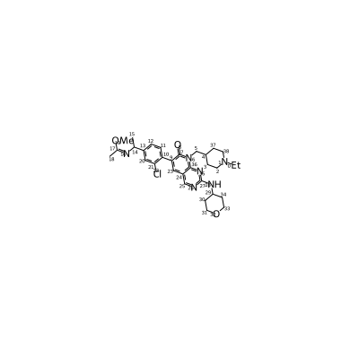 CCN1CCC(Cn2c(=O)c(-c3ccc(C(C)/N=C(/C)OC)cc3Cl)cc3cnc(NC4CCOCC4)nc32)CC1